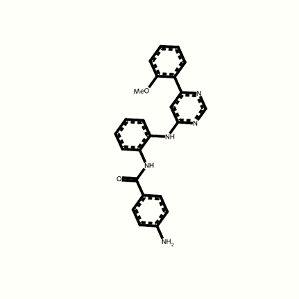 COc1ccccc1-c1cc(Nc2ccccc2NC(=O)c2ccc(N)cc2)ncn1